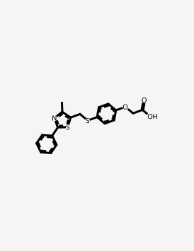 Cc1nc(-c2ccccc2)sc1CSc1ccc(OCC(=O)O)cc1